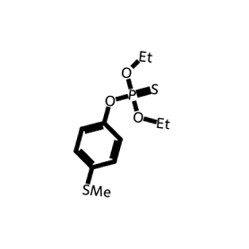 CCOP(=S)(OCC)Oc1ccc(SC)cc1